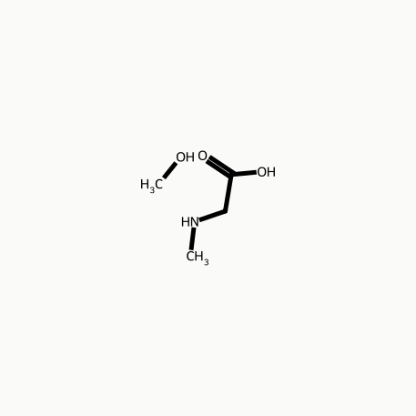 CNCC(=O)O.CO